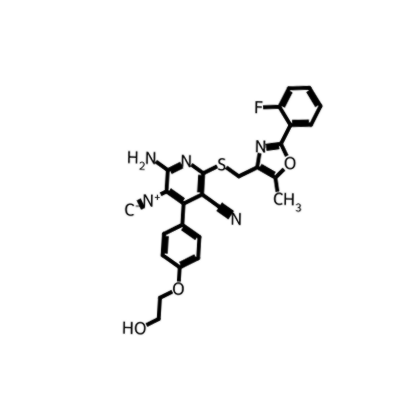 [C-]#[N+]c1c(N)nc(SCc2nc(-c3ccccc3F)oc2C)c(C#N)c1-c1ccc(OCCO)cc1